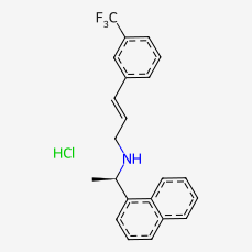 C[C@@H](NCC=Cc1cccc(C(F)(F)F)c1)c1cccc2ccccc12.Cl